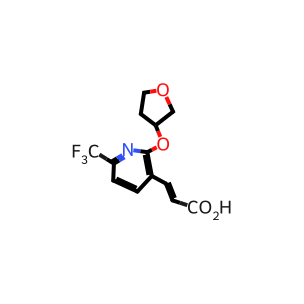 O=C(O)C=Cc1ccc(C(F)(F)F)nc1OC1CCOC1